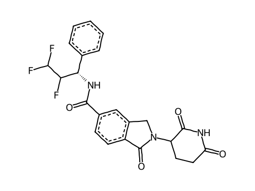 O=C1CCC(N2Cc3cc(C(=O)N[C@@H](c4ccccc4)C(F)C(F)F)ccc3C2=O)C(=O)N1